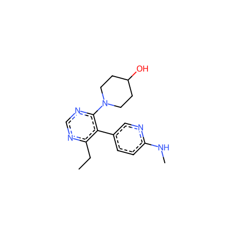 CCc1ncnc(N2CCC(O)CC2)c1-c1ccc(NC)nc1